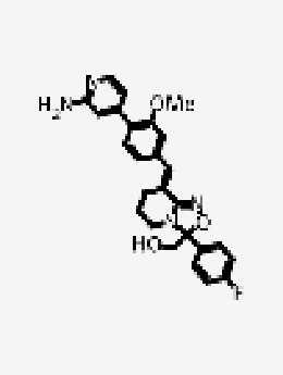 COc1cc(/C=C2\CCCN3C2=NOC3(CO)c2ccc(F)cc2)ccc1-c1ccnc(N)c1